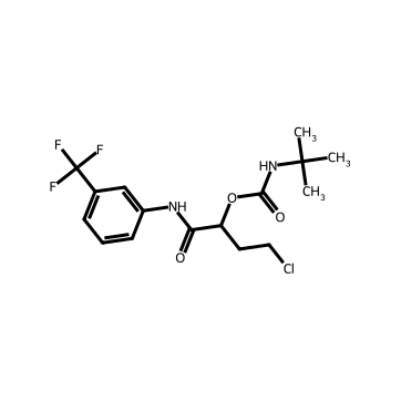 CC(C)(C)NC(=O)OC(CCCl)C(=O)Nc1cccc(C(F)(F)F)c1